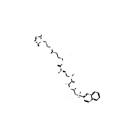 CN[C@H](C(=O)NC(C(=O)N(C)C/C=C(\C)C(=O)N[C@H](CCC(=O)NCCN1C(=O)C=CC1=O)C(=O)O)C(C)(C)C)C(C)(C)c1ccc2ccccc2c1